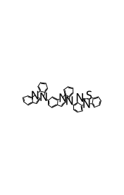 c1ccc2c(c1)cc1n(-c3ccc4cc5n(-c6cccc7c6nc6sc8ccccc8n67)c6ccccc6n5c4c3)c3ccccc3n21